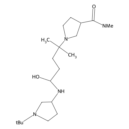 CNC(=O)C1CCN(C(C)(C)CCC(O)NC2CCN(C(C)(C)C)C2)C1